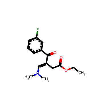 CCOC(=O)CC(=CN(C)C)C(=O)c1cccc(F)c1